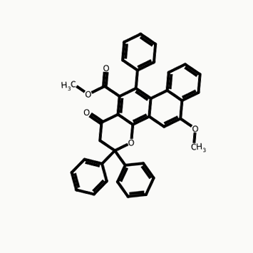 COC(=O)c1c2c(c3cc(OC)c4ccccc4c3c1-c1ccccc1)OC(c1ccccc1)(c1ccccc1)CC2=O